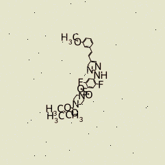 COc1cccc(C=Cc2cnc(Nc3cc(F)c(S(=O)(=O)N4CCN(C(=O)OC(C)(C)C)CC4)cc3F)nc2)c1